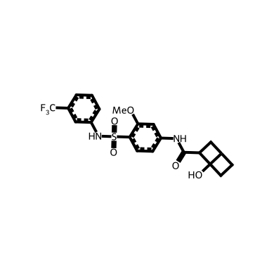 COc1cc(NC(=O)C2CC3CCC32O)ccc1S(=O)(=O)Nc1cccc(C(F)(F)F)c1